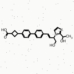 CC(O)c1nccn1C(/C=C/c1ccc(-c2ccc(C3CC(C(=O)O)C3)cc2)cc1)CO